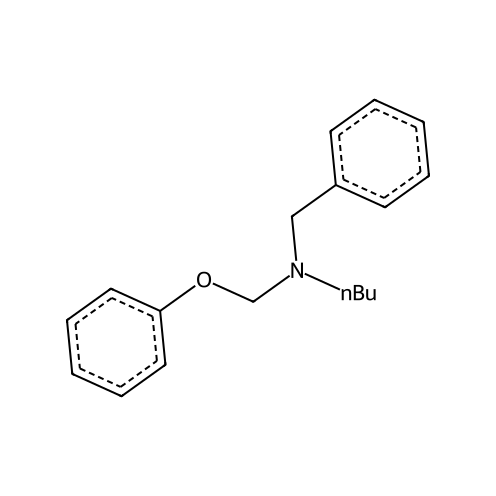 CCCCN(COc1ccccc1)Cc1ccccc1